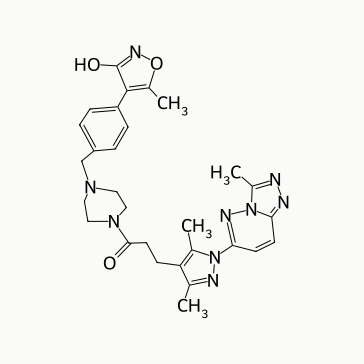 Cc1nn(-c2ccc3nnc(C)n3n2)c(C)c1CCC(=O)N1CCN(Cc2ccc(-c3c(O)noc3C)cc2)CC1